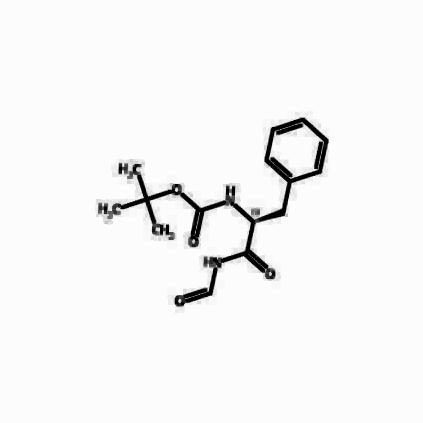 CC(C)(C)OC(=O)N[C@@H](Cc1ccccc1)C(=O)NC=O